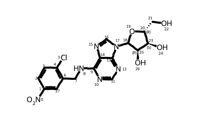 O=[N+]([O-])c1ccc(Cl)c(CNc2ncnc3c2ncn3C2O[C@H](CO)[C@@H](O)[C@H]2O)c1